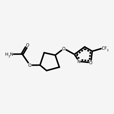 NC(=O)OC1CCC(Oc2cc(C(F)(F)F)on2)C1